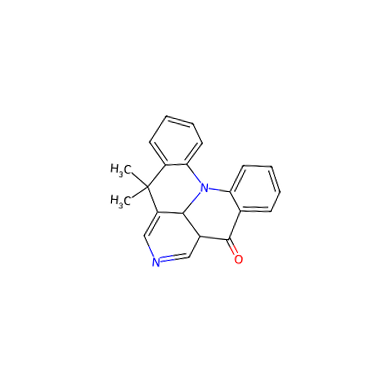 CC1(C)C2=CN=CC3C(=O)c4ccccc4N(c4ccccc41)C23